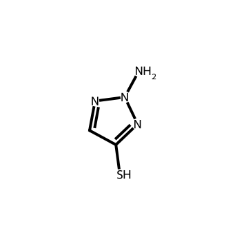 Nn1ncc(S)n1